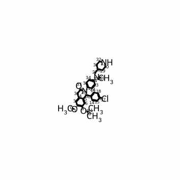 COc1cc2c(cc1OC(C)C)C(c1ccc(Cl)cc1)N(c1ccc(N(C)CC3CCNCC3)cc1)C(=O)C2